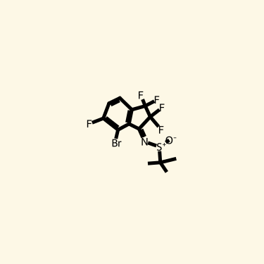 CC(C)(C)[S+]([O-])N=C1c2c(ccc(F)c2Br)C(F)(F)C1(F)F